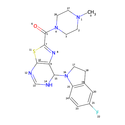 CN1CCN(C(=O)c2nc3c(s2)N=CNC3N2CCc3cc(F)ccc32)CC1